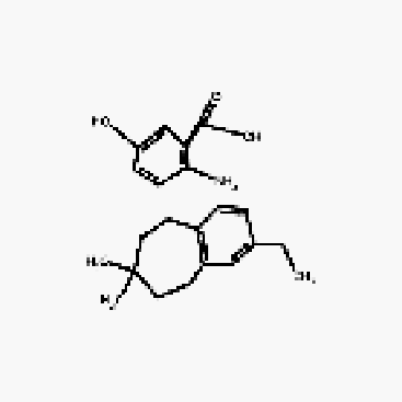 CCc1ccc2c(c1)CCC(C)(C)CC2.Nc1ccc(O)cc1C(=O)O